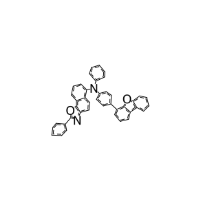 c1ccc(-c2nc3ccc4c(N(c5ccccc5)c5ccc(-c6cccc7c6oc6ccccc67)cc5)cccc4c3o2)cc1